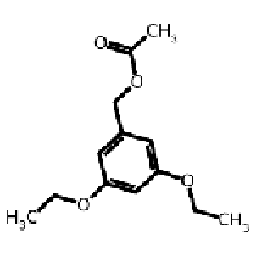 CCOc1cc(COC(C)=O)cc(OCC)c1